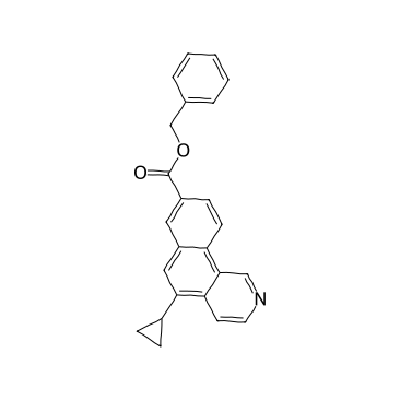 O=C(OCc1ccccc1)c1ccc2c(c1)cc(C1CC1)c1ccncc12